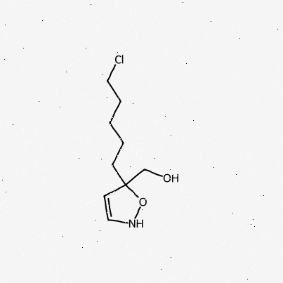 OCC1(CCCCCCl)C=CNO1